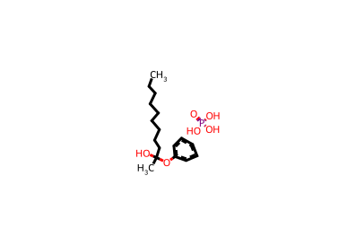 CCCCCCCCCC(C)(O)Oc1ccccc1.O=P(O)(O)O